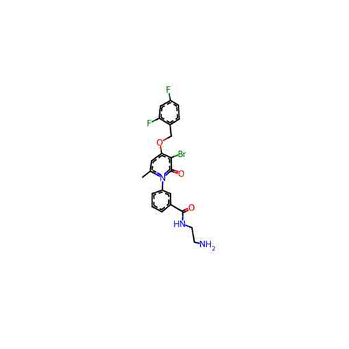 Cc1cc(OCc2ccc(F)cc2F)c(Br)c(=O)n1-c1cccc(C(=O)NCCN)c1